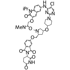 CNC(=O)COc1cc2cc(Nc3nc(N4CCC(O[C@H]5C[C@@H](COc6ccc7c(c6)C(=O)N(C6CCC(=O)NC6=O)C7=O)N(C)C5)CC4)ncc3Cl)ccc2n(C(C)C)c1=O